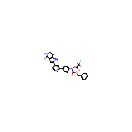 O=C1NCCc2[nH]c(-c3ccnc(-c4ccc(N(OC(=O)C(F)(F)F)C(=O)OCc5ccccc5)cc4)c3)cc21